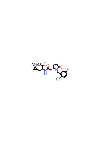 COC(=O)[C@H](CC1CC1)NC(=O)C[C@@H]1CCC(=O)N1Cc1cc(F)ccc1Cl